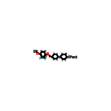 CCCCCC1C=CC([C@H]2CC[C@H](COc3ccc(OCC)c(F)c3F)CC2)CC1